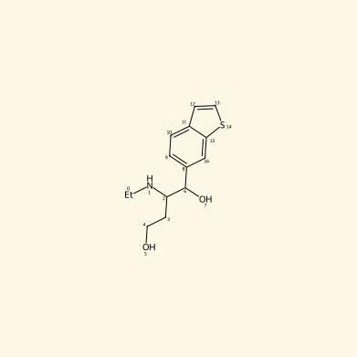 CCNC(CCO)C(O)c1ccc2ccsc2c1